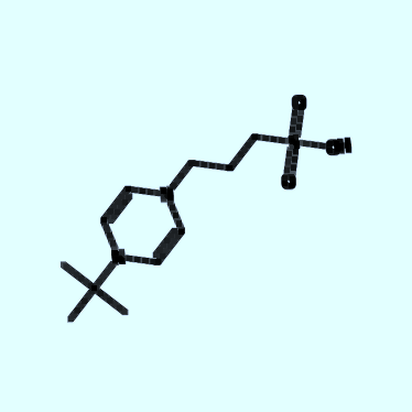 CC(C)(C)N1C=CN(CCCS(=O)(=O)O)C=C1